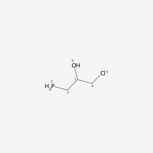 OC(CP)CCl